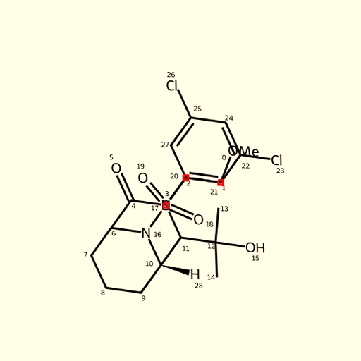 COCCN1C(=O)C2CCC[C@@H](C1C(C)(C)O)N2S(=O)(=O)c1cc(Cl)cc(Cl)c1